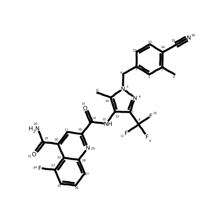 Cc1cc(Cn2nc(C(F)(F)F)c(NC(=O)c3cc(C(N)=O)c4c(F)cccc4n3)c2C)ccc1C#N